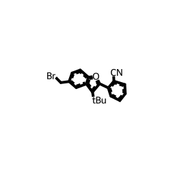 CC(C)(C)c1c(-c2ccccc2C#N)oc2ccc(CBr)cc12